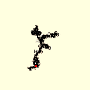 COc1ccc(C(NCCCC[C@H](NC(=O)C[C@H](Cc2ccc(Cl)cc2)NC(=O)CCC(=O)NCCCO[C@H]2CC[C@@]3(C)C(=CC[C@H]4[C@@H]5CC[C@H]([C@H](C)CCCC(C)C)[C@@]5(C)CC[C@@H]43)C2)C(=O)Nc2ccc(COC(=O)Oc3ccc([N+](=O)[O-])cc3)cc2)(c2ccccc2)c2ccccc2)cc1